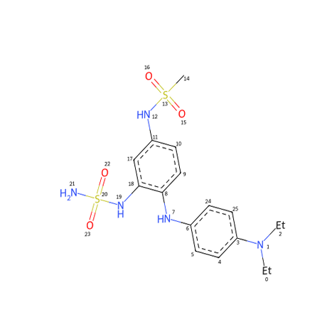 CCN(CC)c1ccc(Nc2ccc(NS(C)(=O)=O)cc2NS(N)(=O)=O)cc1